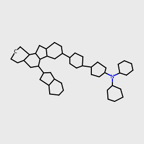 C1CCC(N(C2CCCCC2)C2CCC(C3CCC(C4CCC5CC6C7CCCCC7CC(C7CC8CCCCC8C7)C6C5C4)CC3)CC2)CC1